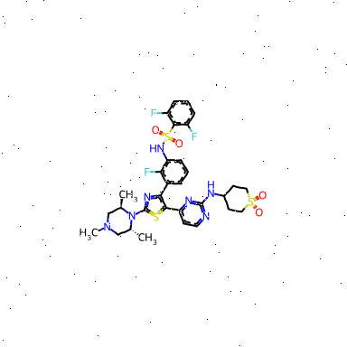 C[C@@H]1CN(C)C[C@@H](C)N1c1nc(-c2cccc(NS(=O)(=O)c3c(F)cccc3F)c2F)c(-c2ccnc(NC3CCS(=O)(=O)CC3)n2)s1